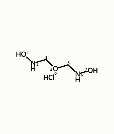 Cl.ONCOCNO